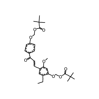 CCc1cc(/C=C/C(=O)c2ccc(OCOC(=O)C(C)(C)C)cc2)c(OC)cc1OCOC(=O)C(C)(C)C